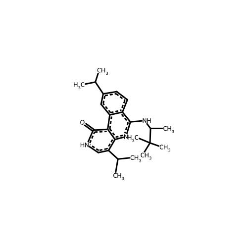 CC(C)c1ccc2c(NC(C)C(C)(C)C)nc3c(C(C)C)c[nH]c(=O)c3c2c1